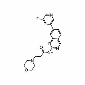 O=C(CCN1CCOCC1)Nc1ncc2ccc(-c3cncc(F)c3)cc2n1